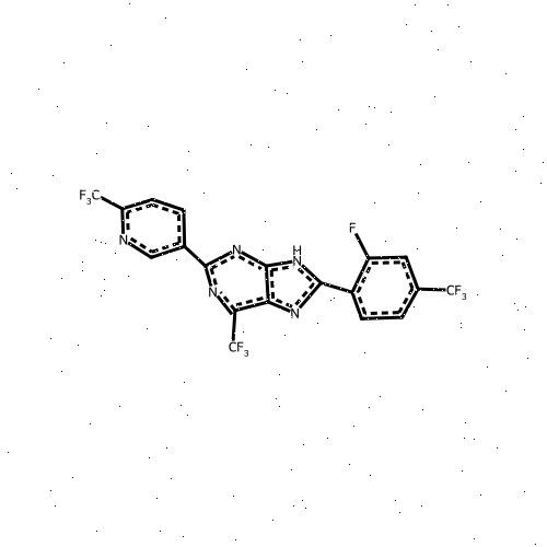 Fc1cc(C(F)(F)F)ccc1-c1nc2c(C(F)(F)F)nc(-c3ccc(C(F)(F)F)nc3)nc2[nH]1